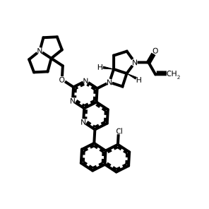 C=CC(=O)N1CC[C@@H]2[C@H]1CN2c1nc(OCC23CCCN2CCC3)nc2nc(-c3cccc4cccc(Cl)c34)ccc12